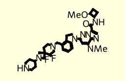 CNc1cc(N2CCc3c(CN4CCC5(CN(C6CCNCC6)C5)C(F)(F)C4)cccc32)nn2c(C(=O)N[C@@H]3CC[C@H]3OC)cnc12